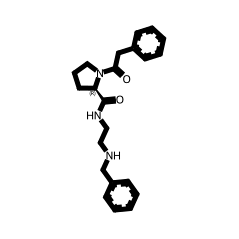 O=C(NCCNCc1ccccc1)[C@H]1CCCN1C(=O)Cc1ccccc1